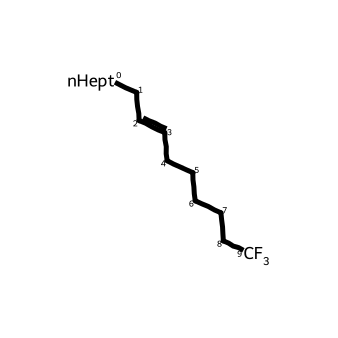 [CH2]CCCCCCCC=CCCCCCC(F)(F)F